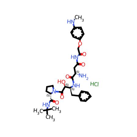 CNc1ccc(OCC(=O)NC(=O)C[C@H](N)C(=O)N[C@@H](Cc2ccccc2)[C@H](O)C(=O)N2CCC[C@H]2C(=O)NC(C)(C)C)cc1.Cl